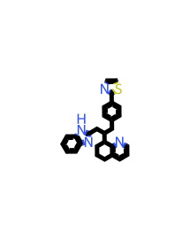 c1cnc2c(c1)CCCC2C(Cc1ccc(-c2nccs2)cc1)Cc1nc2ccccc2[nH]1